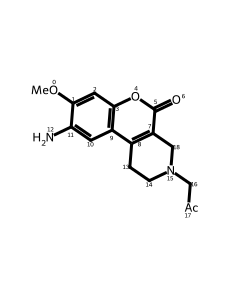 COc1cc2oc(=O)c3c(c2cc1N)CCN(CC(C)=O)C3